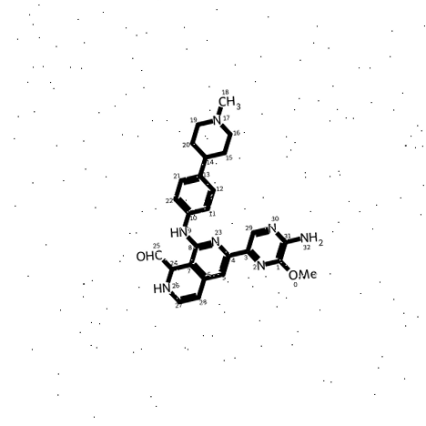 COc1nc(-c2cc3c(c(Nc4ccc(C5CCN(C)CC5)cc4)n2)C(C=O)NC=C3)cnc1N